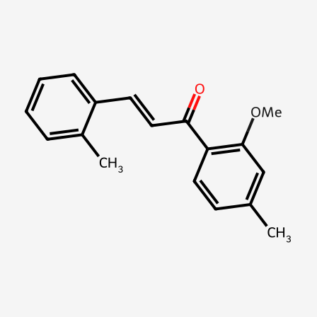 COc1cc(C)ccc1C(=O)/C=C/c1ccccc1C